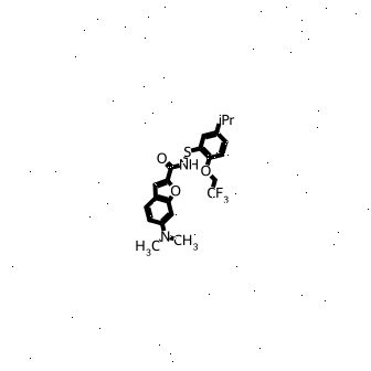 CC(C)c1ccc(OCC(F)(F)F)c(SNC(=O)c2cc3ccc(N(C)C)cc3o2)c1